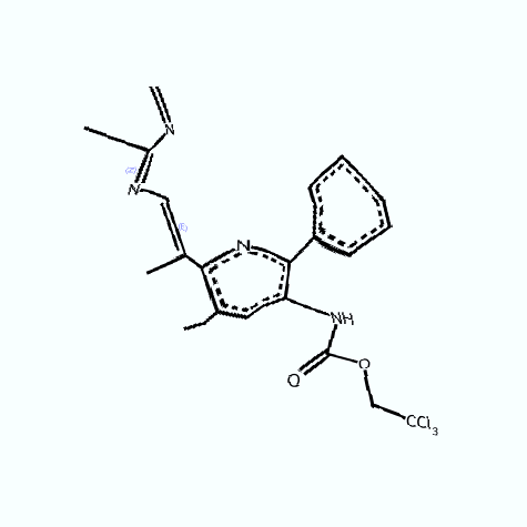 C=N/C(C)=N\C=C(/C)c1nc(-c2ccccc2)c(NC(=O)OCC(Cl)(Cl)Cl)cc1C